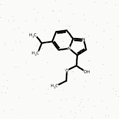 CCOC(O)c1cnc2ccc(C(C)C)cn12